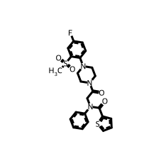 CS(=O)(=O)c1cc(F)ccc1N1CCN(C(=O)CN(C(=O)c2cccs2)c2ccccc2)CC1